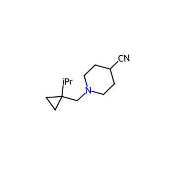 CC(C)C1(CN2CCC(C#N)CC2)CC1